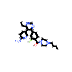 CCCCN1CCN(C(=O)c2ccc(-c3ncnc(CC)c3-c3ccc(N)nc3)cc2F)CC1